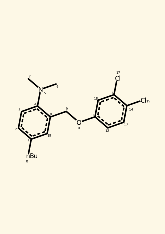 CCCCc1ccc(N(C)C)c(COc2ccc(Cl)c(Cl)c2)c1